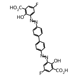 O=C(O)c1cc(F)cc(/N=N/c2ccc(-c3ccc(/N=N/c4cc(F)cc(C(=O)O)c4O)cc3)cc2)c1O